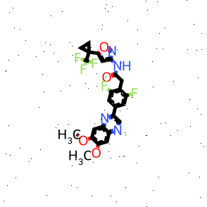 COc1cc2ncc(-c3cc(F)c(CC(=O)Nc4cc(C5(C(F)(F)F)CC5)on4)c(F)c3)nc2cc1OC